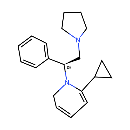 C1=CCN([C@H](CN2CCCC2)c2ccccc2)C(C2CC2)=C1